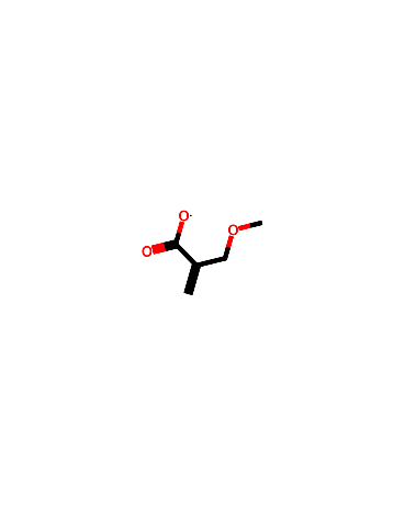 C=C(COC)C([O])=O